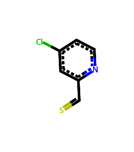 S=Cc1cc(Cl)ccn1